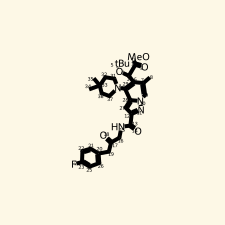 COC(=O)C(OC(C)(C)C)c1c(C)cn2nc(C(=O)NCC(=O)Cc3ccc(F)cc3)cc2c1N1CCC(C)(C)CC1